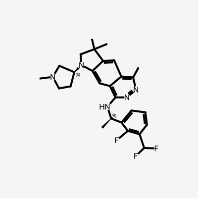 Cc1nnc(N[C@H](C)c2cccc(C(F)F)c2F)c2cc3c(cc12)C(C)(C)CN3[C@H]1CCN(C)C1